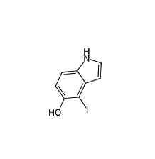 Oc1ccc2[nH]ccc2c1I